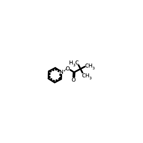 CC(C)(C)C(=O)O[n+]1ccccc1